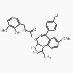 COc1ccc2c(c1)C(c1ccc(Cl)cc1)=N[C@@H](CC(=O)NCc1cccc(O)c1O)C1NNC(C)N21